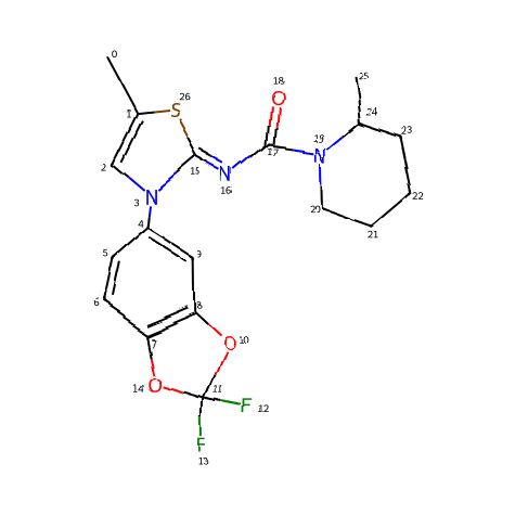 Cc1cn(-c2ccc3c(c2)OC(F)(F)O3)c(=NC(=O)N2CCCCC2C)s1